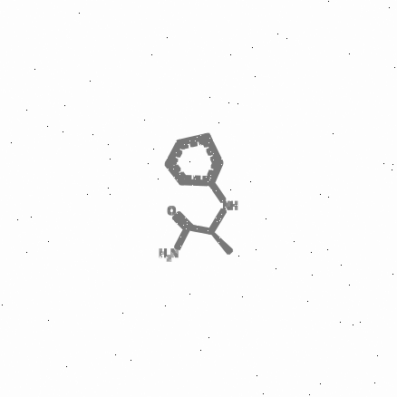 C[C@H](Nc1ccccc1)C(N)=O